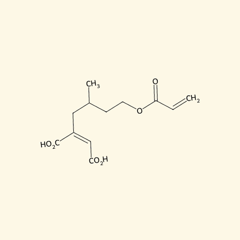 C=CC(=O)OCCC(C)C/C(=C/C(=O)O)C(=O)O